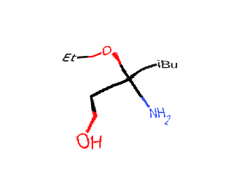 CCOC(N)(CO)C(C)CC